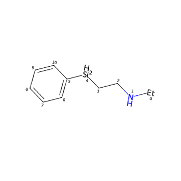 CCNCC[SiH2]c1ccccc1